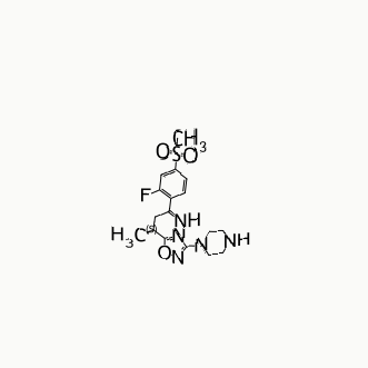 C[C@@H](CC(=N)c1ccc(S(C)(=O)=O)cc1F)c1nc(N2CCNCC2)no1